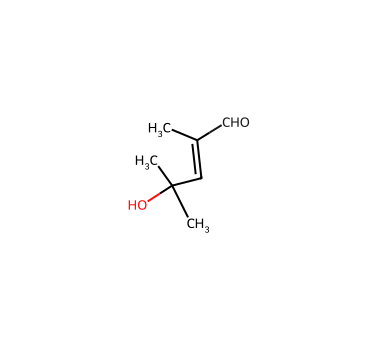 CC(C=O)=CC(C)(C)O